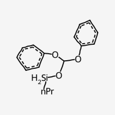 CCC[SiH2]OC(Oc1ccccc1)Oc1ccccc1